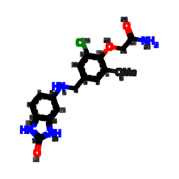 COc1cc(CNc2ccc3[nH]c(=O)[nH]c3c2)cc(Cl)c1OCC(N)=O